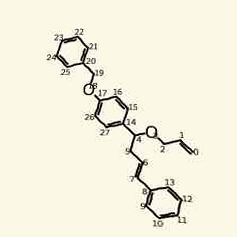 C=CCOC(CC=Cc1ccccc1)c1ccc(OCc2ccccc2)cc1